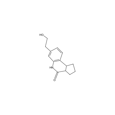 O=C1Nc2cc(CCO)ccc2C2CCCC12